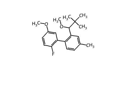 COc1ccc(F)c(-c2ccc(C)cc2C(OC)C(C)(C)C)c1